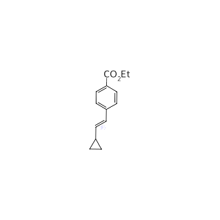 CCOC(=O)c1ccc(/C=C/C2CC2)cc1